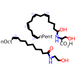 CCCCC/C=C\C/C=C\C/C=C\C/C=C\CCCC(O)N[C@@H](CO)C(=O)O.CCCCCCCC/C=C\CCCCCCCC(=O)NCCO